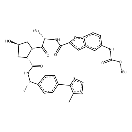 Cc1ncsc1-c1ccc([C@H](C)NC(=O)[C@@H]2C[C@@H](O)CN2C(=O)[C@@H](NC(=O)c2cc3cc(NC(=O)OC(C)(C)C)ccc3o2)C(C)(C)C)cc1